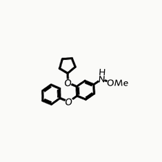 CONc1ccc(Oc2ccccc2)c(OC2CCCC2)c1